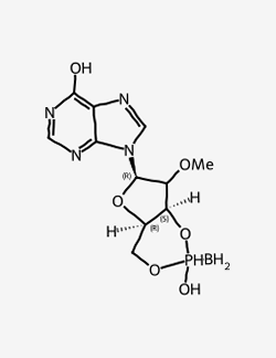 B[PH]1(O)OC[C@H]2O[C@@H](n3cnc4c(O)ncnc43)C(OC)[C@H]2O1